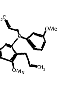 C=CCB(c1cccc(OC)c1)c1cccc(OC)c1CC=C